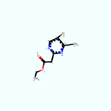 CCOC(=O)Cc1ncc(Br)c(C)n1